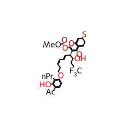 CCCc1c(OCC/C=C\C=C\[C@@H](c2c(OC(=O)OC)oc3c(c2=O)=CCC(=S)C=3)[C@H](O)CCC(F)(F)F)ccc(C(C)=O)c1O